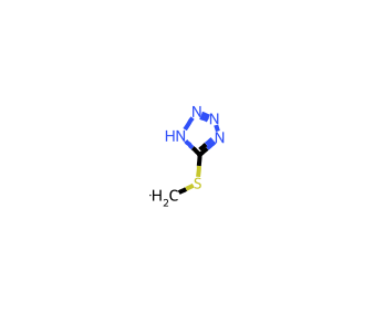 [CH2]Sc1nnn[nH]1